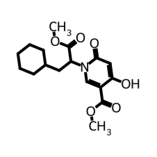 COC(=O)c1cn(C(CC2CCCCC2)C(=O)OC)c(=O)cc1O